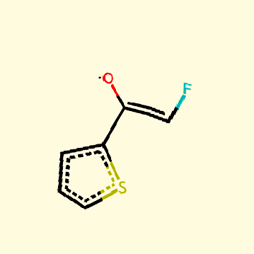 [O]C(=CF)c1cccs1